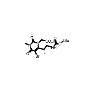 C[C@@H](CNC(=O)OC(C)(C)C)c1c(Br)c(=O)n(C)c(=O)n1CC(=O)O